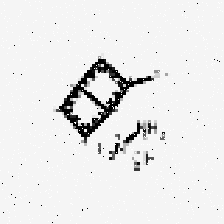 Cl.Fc1cc2ccc1-2.NN